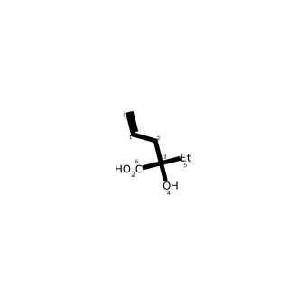 C=CCC(O)(CC)C(=O)O